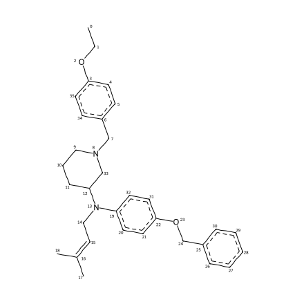 CCOc1ccc(CN2CCCC(N(CC=C(C)C)c3ccc(OCc4ccccc4)cc3)C2)cc1